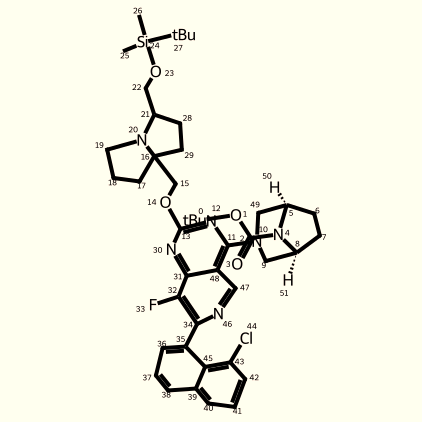 CC(C)(C)OC(=O)N1[C@@H]2CC[C@H]1CN(c1nc(OCC34CCCN3C(CO[Si](C)(C)C(C)(C)C)CC4)nc3c(F)c(-c4cccc5cccc(Cl)c45)ncc13)C2